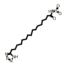 O=C(CCCCCCCCCCCCCCCc1nnn[nH]1)N[SH](=O)=O